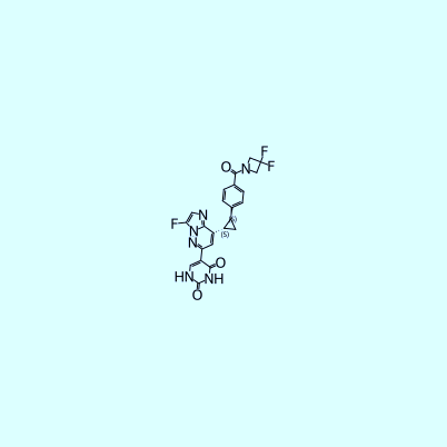 O=C(c1ccc([C@H]2C[C@@H]2c2cc(-c3c[nH]c(=O)[nH]c3=O)nn3c(F)cnc23)cc1)N1CC(F)(F)C1